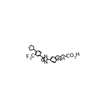 O=C(O)CCC1Cc2cc(-c3noc(-c4ccc(C5CCCC5)c(C(F)(F)F)c4)n3)ccc2N1